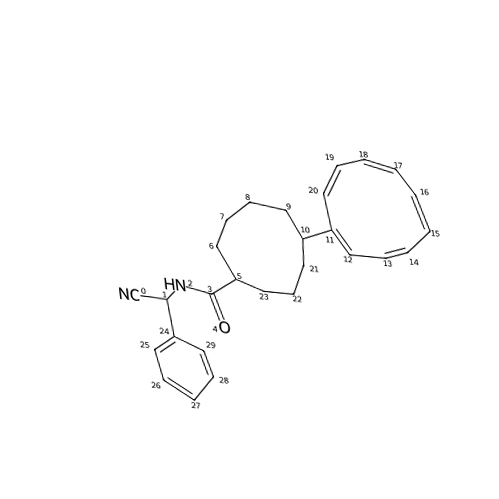 N#CC(NC(=O)C1CCCCC(c2ccccccccc2)CCC1)c1ccccc1